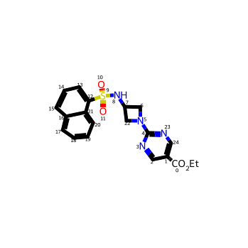 CCOC(=O)c1cnc(N2CC(NS(=O)(=O)c3cccc4ccccc34)C2)nc1